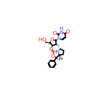 C[C@]1(c2ccccc2)O[P@](OC2[C@@H](CO)O[C@@H](n3ccc(=O)[nH]c3=O)[C@H]2F)N2CCC[C@H]21